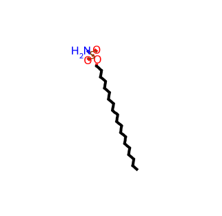 CCCCCCCCCCCCCCCCCCCCOS(N)(=O)=O